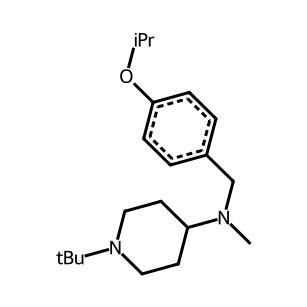 CC(C)Oc1ccc(CN(C)C2CCN(C(C)(C)C)CC2)cc1